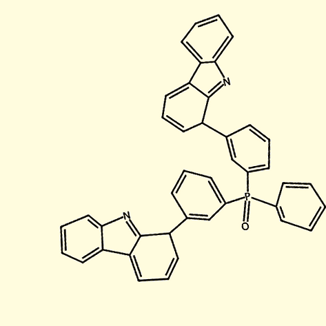 O=P(c1ccccc1)(c1cccc(C2C=CC=C3C2=Nc2ccccc23)c1)c1cccc(C2C=CC=C3C2=Nc2ccccc23)c1